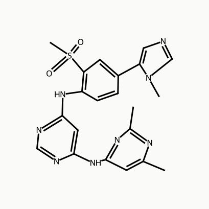 Cc1cc(Nc2cc(Nc3ccc(-c4cncn4C)cc3S(C)(=O)=O)ncn2)nc(C)n1